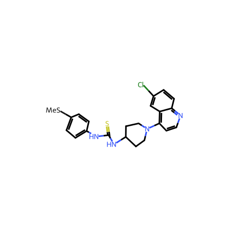 CSc1ccc(NC(=S)NC2CCN(c3ccnc4ccc(Cl)cc34)CC2)cc1